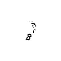 O=C(CCS(=O)(=O)c1ccc2cc(Cl)ccc2c1)N1CCC(O)(c2c[nH]cn2)CC1